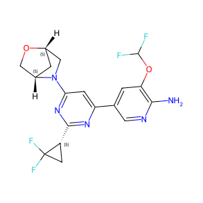 Nc1ncc(-c2cc(N3C[C@@H]4C[C@H]3CO4)nc([C@@H]3CC3(F)F)n2)cc1OC(F)F